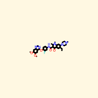 CCc1cc2c(=O)c(C(=O)Nc3ccc(Oc4ncnc5cc(OC)c(OC)cc45)c(F)c3)c(C)n(C)c2cc1N1CCN(C)CC1